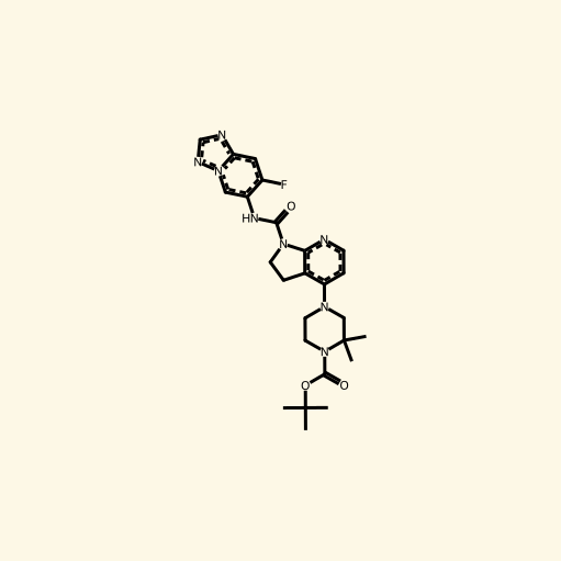 CC(C)(C)OC(=O)N1CCN(c2ccnc3c2CCN3C(=O)Nc2cn3ncnc3cc2F)CC1(C)C